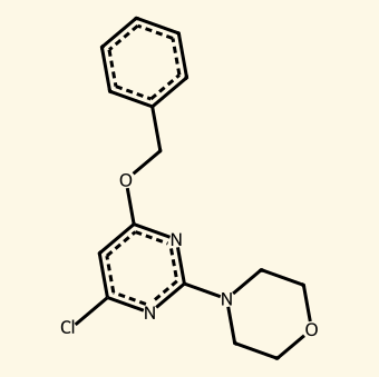 Clc1cc(OCc2ccccc2)nc(N2CCOCC2)n1